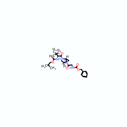 CC(C)COC(=O)N[C@H](C(=O)N1C[C@@H]2C[C@H]1CN2C(=O)CNC(=O)OCc1ccccc1)C(C)(C)C